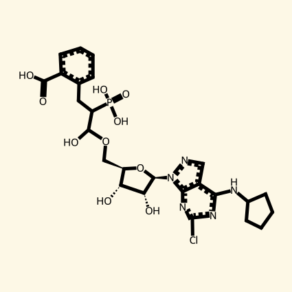 O=C(O)c1ccccc1CC(C(O)OC[C@H]1O[C@@H](n2ncc3c(NC4CCCC4)nc(Cl)nc32)[C@H](O)[C@@H]1O)P(=O)(O)O